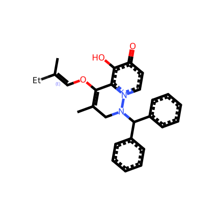 CC/C(C)=C/OC1=C(C)CN(C(c2ccccc2)c2ccccc2)n2ccc(=O)c(O)c21